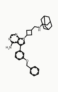 Nc1ncnc2c1c(-c1cccc(OCc3ccccc3)c1)cn2C1CC(CNC23CC4CC(CC(C4)C2)C3)C1